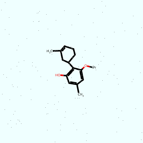 CC1=CCCC(c2c(O)cc(C)cc2OC(C)C)C1